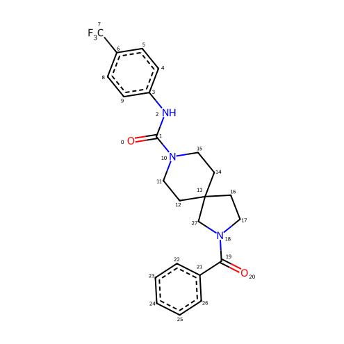 O=C(Nc1ccc(C(F)(F)F)cc1)N1CCC2(CC1)CCN(C(=O)c1ccccc1)C2